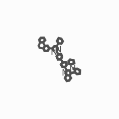 c1ccc(-c2cc(-c3ccc4c(c3)-c3ccccc3CC4)nc(-c3ccc(-c4ccc(-c5nc6ccccc6c6c7ccccc7n(-c7ccccc7)c56)cc4)cc3)n2)cc1